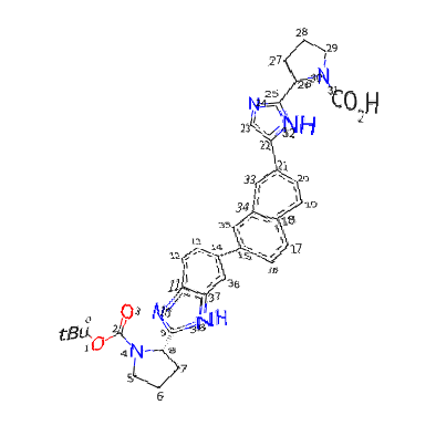 CC(C)(C)OC(=O)N1CCC[C@H]1c1nc2ccc(-c3ccc4ccc(-c5cnc(C6CCCN6C(=O)O)[nH]5)cc4c3)cc2[nH]1